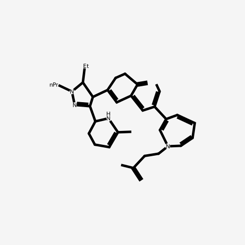 C=C(C)CCN1C=CC=CC(C(/C=C2/C=C(C3C(C4CCC=C(C)N4)=NN(CCC)C3CC)CCC2=C)=C/C)=C1